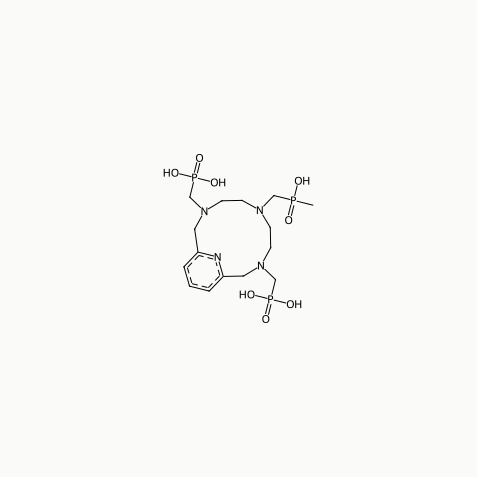 CP(=O)(O)CN1CCN(CP(=O)(O)O)Cc2cccc(n2)CN(CP(=O)(O)O)CC1